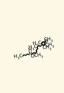 CCCCCCNC(=O)C=C(C)C=CC=C(C)C=Cc1c(C)cc(OC)c(C)c1C